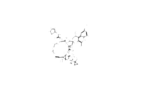 COc1ccc2nc(C)c3c(c2c1)[C@H](F)C[C@]1(C[C@H]2C(=O)N[C@]4(C(=O)NS(=O)(=O)C5(C)CC5)C[C@H]4/C=C\CCCCC[C@H](NC(=O)OC4CCCC4)C(=O)N2C1)O3